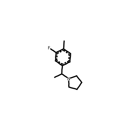 Cc1ccc(C(C)N2CCCC2)cc1F